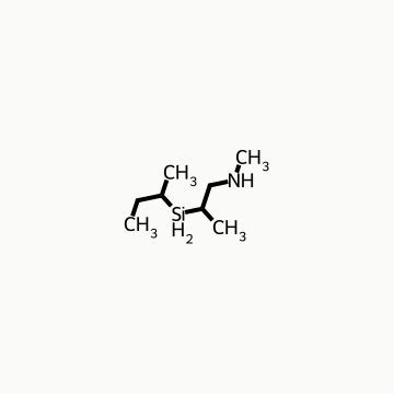 CCC(C)[SiH2]C(C)CNC